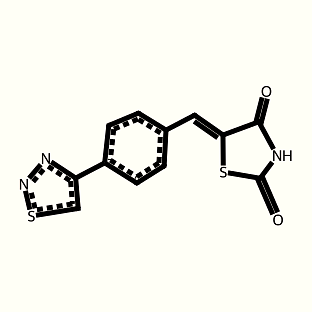 O=C1NC(=O)C(=Cc2ccc(-c3csnn3)cc2)S1